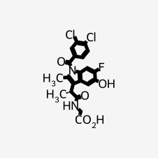 Cc1c([C@@H](C)C(=O)NCC(=O)O)c2cc(O)c(F)cc2n1C(=O)c1ccc(Cl)c(Cl)c1